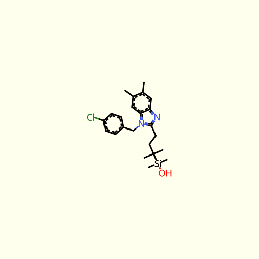 Cc1cc2nc(CCC(C)(C)[Si](C)(C)O)n(Cc3ccc(Cl)cc3)c2cc1C